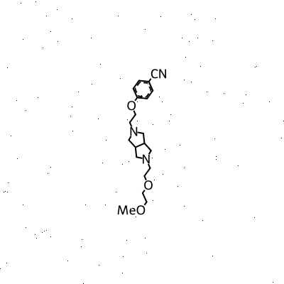 COCCOCCN1CC2CN(CCOc3ccc(C#N)cc3)CC2C1